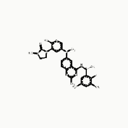 Cc1nc(N[C@H](C)c2cc(N)cc(C)c2F)c2cc(N(C)c3cnc(O)c(N4CCN(C)C4=O)c3)ccc2n1